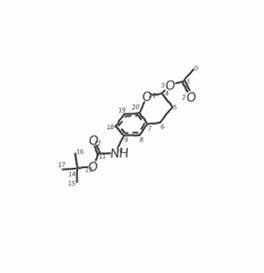 CC(=O)OC1CCc2cc(NC(=O)OC(C)(C)C)ccc2O1